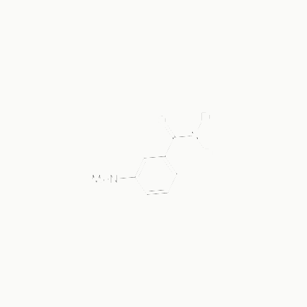 CCN(CC)C(=O)c1cccc(NC)c1